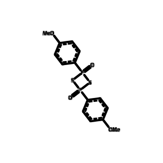 COc1ccc(P2(=O)SP(=O)(c3ccc(OC)cc3)S2)cc1